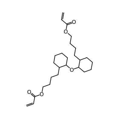 C=CC(=O)OCCCCC1CCCCC1OC1CCCCC1CCCCOC(=O)C=C